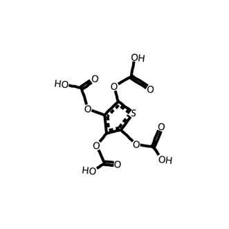 O=C(O)Oc1sc(OC(=O)O)c(OC(=O)O)c1OC(=O)O